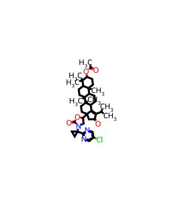 CC(=O)OC1CCC2(C)C(CCC3(C)C2CCC2C4=C(C(C)C)C(=O)CC4(C4CN(C5(c6ncc(Cl)cn6)CC5)C(=O)O4)CCC23C)C1(C)C